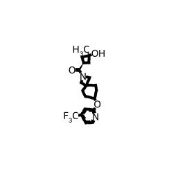 C[C@]1(O)C[C@@H](C(=O)N2CC3(CCC(Oc4cc(C(F)(F)F)ccn4)CC3)C2)C1